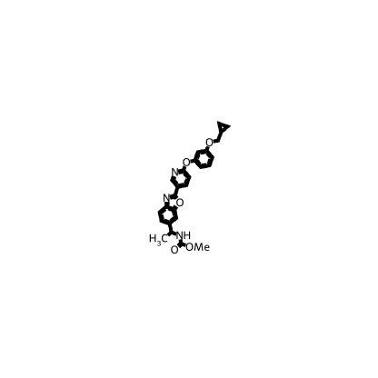 COC(=O)NC(C)c1ccc2nc(-c3ccc(Oc4cccc(OCC5CC5)c4)nc3)oc2c1